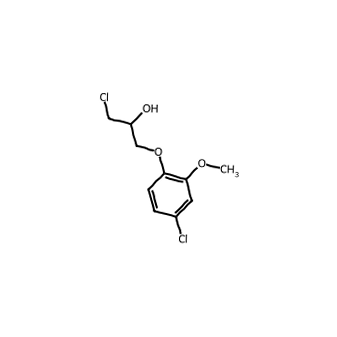 COc1cc(Cl)ccc1OCC(O)CCl